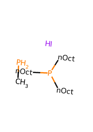 CCCCCCCCP(CCCCCCCC)CCCCCCCC.CP.I